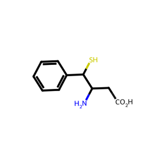 NC(CC(=O)O)C(S)c1ccccc1